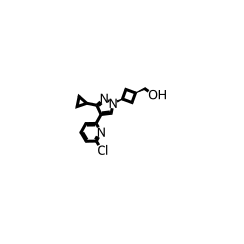 OC[C@H]1C[C@@H](n2cc(-c3cccc(Cl)n3)c(C3CC3)n2)C1